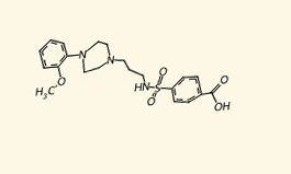 COc1ccccc1N1CCN(CCCNS(=O)(=O)c2ccc(C(=O)O)cc2)CC1